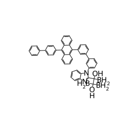 BC(B)(O)C(B)(O)c1nc2ccccc2n1-c1cccc(-c2cccc(-c3c4ccccc4c(-c4ccc(-c5ccccc5)cc4)c4ccccc34)c2)c1